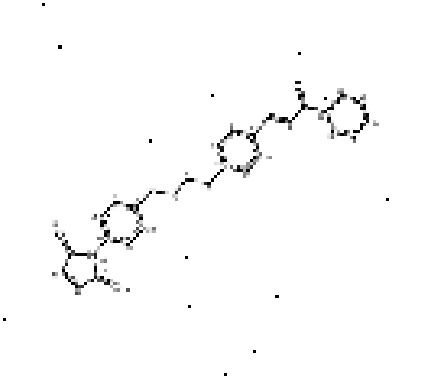 O=C(/C=C/c1ccc(CCCCc2ccc(N3C(=O)C=CC3=O)cc2)cc1)c1ccccc1